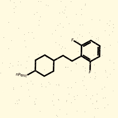 CCCCCC1CCC(CCc2c(F)cccc2F)CC1